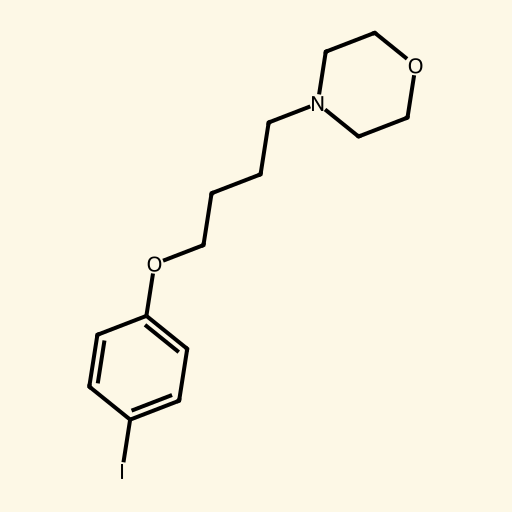 Ic1ccc(OCCCCN2CCOCC2)cc1